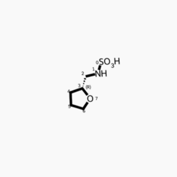 O=S(=O)(O)NC[C@H]1CCCO1